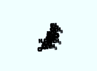 COc1cccc(OC)c1-n1c(NS(=O)(=O)[C@@H](C)[C@H](OC)c2ncc(Cl)cn2)nnc1[C@@H]1CC(=O)N(C)C1